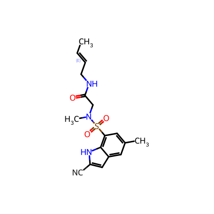 C/C=C/CNC(=O)CN(C)S(=O)(=O)c1cc(C)cc2cc(C#N)[nH]c12